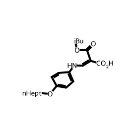 CCCCCCCOc1ccc(NC=C(C(=O)O)C(=O)OC(C)CC)cc1